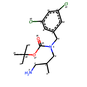 CC(CN)CN(Cc1cc(Cl)cc(Cl)c1)C(=O)OC(C)(C)C